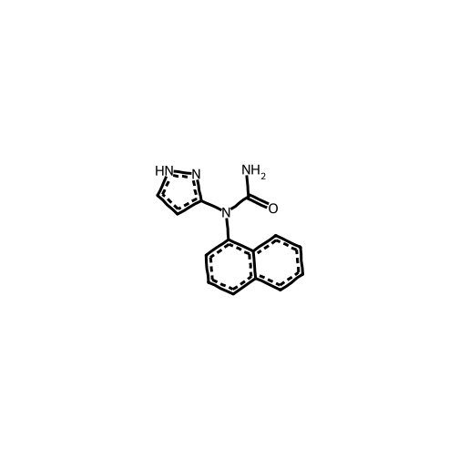 NC(=O)N(c1cc[nH]n1)c1cccc2ccccc12